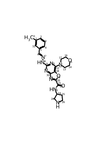 Cc1cccc(/C=N/Nc2nc(N3CCOCC3)c3oc(C(=O)NC4CCNC4)nc3n2)c1